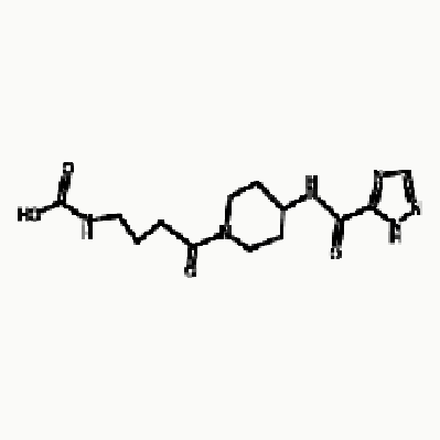 O=C(O)NCCCC(=O)N1CCC(NC(=O)c2ncn[nH]2)CC1